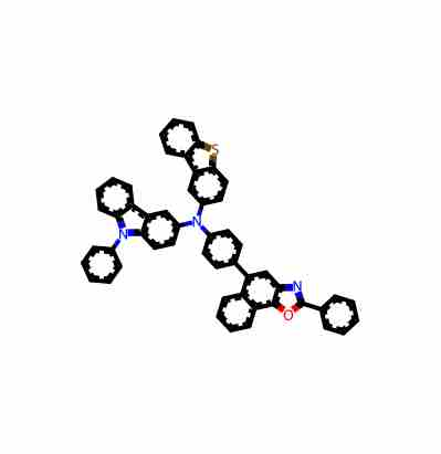 c1ccc(-c2nc3cc(-c4ccc(N(c5ccc6sc7ccccc7c6c5)c5ccc6c(c5)c5ccccc5n6-c5ccccc5)cc4)c4ccccc4c3o2)cc1